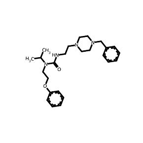 CC(C)N(CCOc1ccccc1)C(=O)NCCN1CCN(Cc2ccccc2)CC1